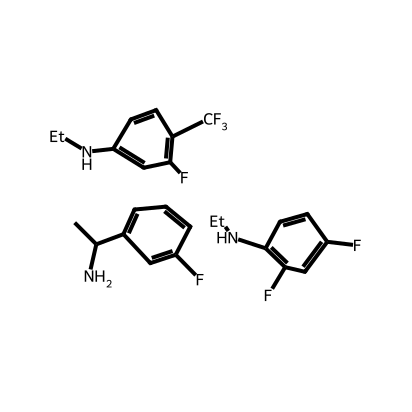 CC(N)c1cccc(F)c1.CCNc1ccc(C(F)(F)F)c(F)c1.CCNc1ccc(F)cc1F